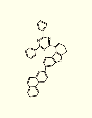 C1=C(c2nc(-c3ccccc3)nc(-c3ccccc3)n2)c2c(oc3cc(-c4ccc5c(ccc6ccccc65)c4)ccc23)CC1